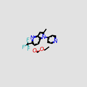 CCOC=O.Cc1cc2nc(C(F)(F)F)ccc2n1-c1ccncc1